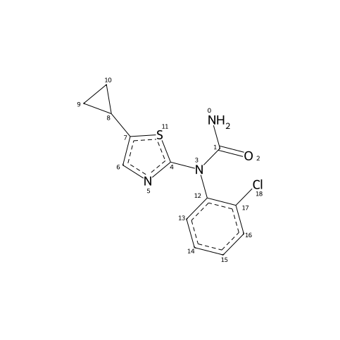 NC(=O)N(c1ncc(C2CC2)s1)c1ccccc1Cl